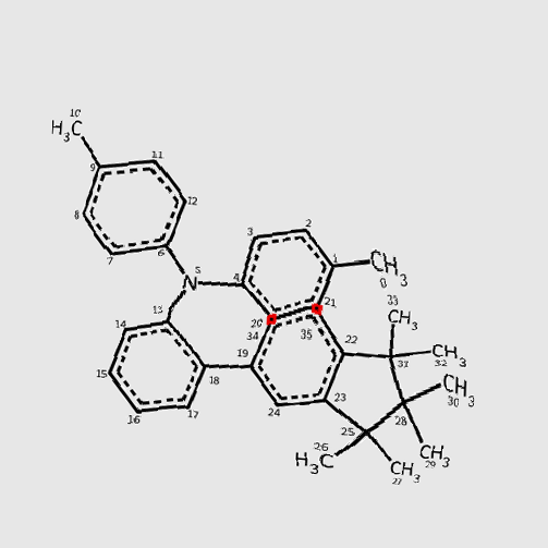 Cc1ccc(N(c2ccc(C)cc2)c2ccccc2-c2ccc3c(c2)C(C)(C)C(C)(C)C3(C)C)cc1